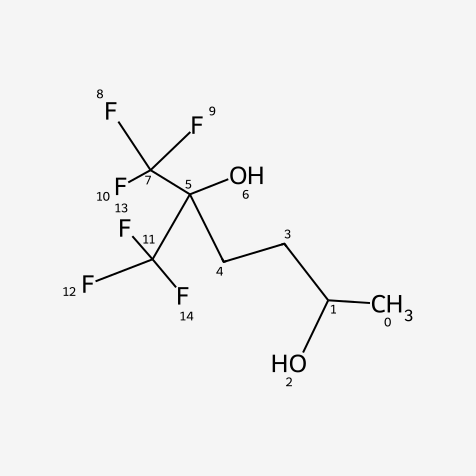 CC(O)CCC(O)(C(F)(F)F)C(F)(F)F